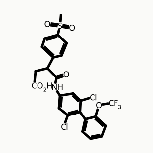 CS(=O)(=O)c1ccc(C(CC(=O)O)C(=O)Nc2cc(Cl)c(-c3ccccc3OC(F)(F)F)c(Cl)c2)cc1